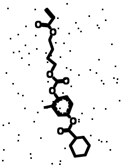 C=CC(=O)OCCCCOC(=O)Oc1ccc(OC(=O)C2CCCCC2)cc1C